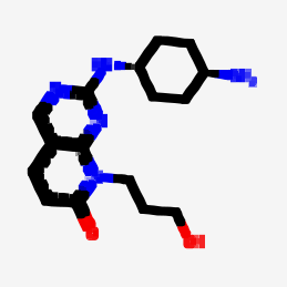 N[C@H]1CC[C@H](Nc2ncc3ccc(=O)n(CCCO)c3n2)CC1